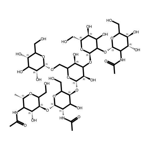 CC(=O)NC1[C@H](OC2C(O)[C@H](O)[C@@H](CO)O[C@@H]2OC2[C@H](O)C(CO[C@H]3OC(CO)[C@@H](O)C(O)[C@H]3O)O[C@@H](O[C@@H]3C(CO)O[C@@H](O[C@@H]4C(CO)O[C@@H](C)C(NC(C)=O)[C@H]4O)[C@@H](NC(C)=O)C3O)[C@@H]2O)OC(CO)[C@@H](O)[C@@H]1O